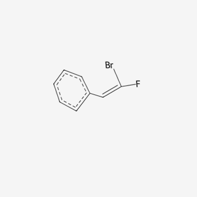 F/C(Br)=C/c1ccccc1